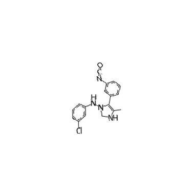 CC1=C(c2cccc(N=C=O)c2)N(Nc2cccc(Cl)c2)CN1